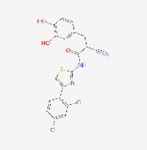 N#CC(Cc1ccc(O)c(O)c1)C(=O)Nc1nc(-c2ccc(Cl)cc2Cl)cs1